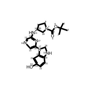 CC(C)(C)OC(=O)N1CC[C@@H](Nc2cncc(N3CNc4ccc(O)cc43)n2)C1